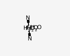 N#[C][Fe][C]#N.O.O.O